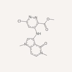 COC(=O)c1nnc(Cl)cc1Nc1cn(C)c2ccn(C)c(=O)c12